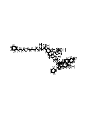 CN(CC[N+](C)(C)Cc1cc(C(O)CNCCCCCCOCCCCc2ccccc2)ccc1OCOP(=O)(O)O)C(=O)OCC(=O)[C@@]12O[C@H](C3CCCCC3)O[C@@H]1C[C@H]1[C@@H]3CCC4=CC(=O)C=C[C@]4(C)[C@H]3[C@@H](O)C[C@@]12C